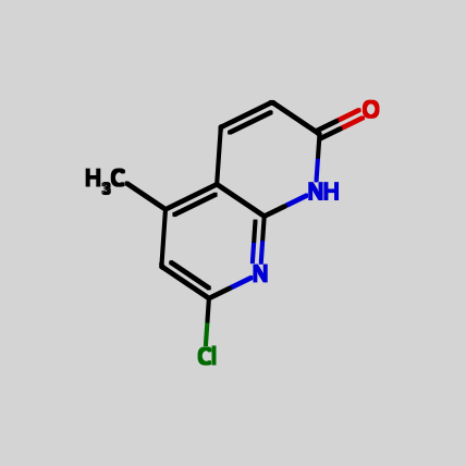 Cc1cc(Cl)nc2[nH]c(=O)ccc12